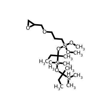 CCC(C)(O[Si](C)(C)C(C)(CC)O[Si](CCCOCC1CO1)(OC)OC)[SiH](C)C